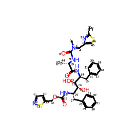 CC(C)c1nc(CN(C)C(=O)N[C@H](C(=O)N[C@@H](Cc2ccccc2)[C@H](O)[C@@H](O)[C@H](Cc2ccccc2)NC(=O)OCc2ccns2)C(C)C)cs1